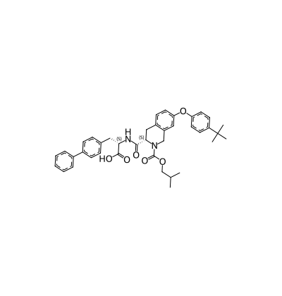 CC(C)COC(=O)N1Cc2cc(Oc3ccc(C(C)(C)C)cc3)ccc2C[C@H]1C(=O)N[C@@H](Cc1ccc(-c2ccccc2)cc1)C(=O)O